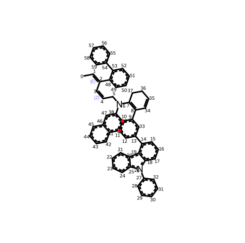 C/C=C(\C=C/CN(C1=C(c2cccc(-c3cccc4c3c3ccccc3n4-c3ccccc3)c2)C=CCC1)c1ccc2ccccc2c1)c1ccccc1-c1ccccc1